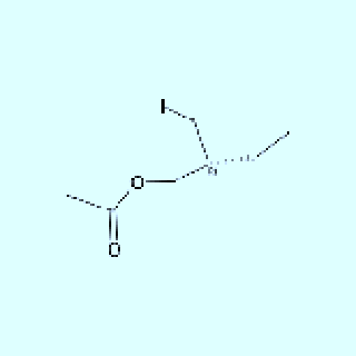 CC[C@@H](CI)COC(C)=O